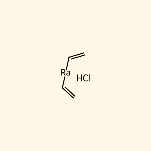 C=[CH][Ra][CH]=C.Cl